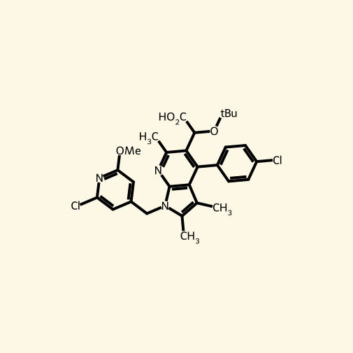 COc1cc(Cn2c(C)c(C)c3c(-c4ccc(Cl)cc4)c(C(OC(C)(C)C)C(=O)O)c(C)nc32)cc(Cl)n1